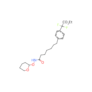 CCOC(=O)C(F)(F)c1ccc(CCCCCCC(=O)NOC2CCCCO2)cc1